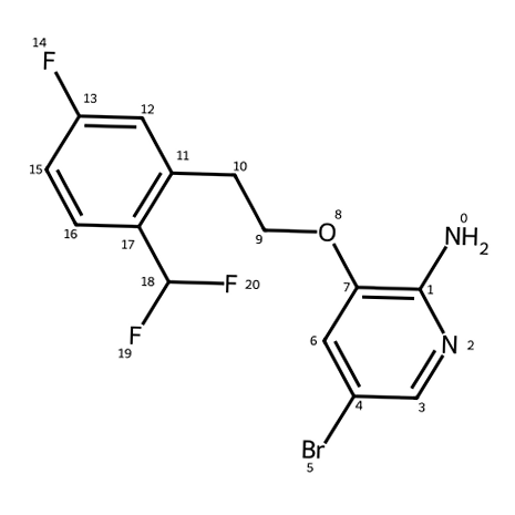 Nc1ncc(Br)cc1OCCc1cc(F)ccc1C(F)F